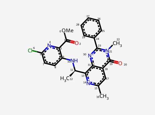 COC(=O)c1nc(Cl)ccc1N[C@H](C)c1nc(C)cc2c(=O)n(C)c(-c3ccccc3)nc12